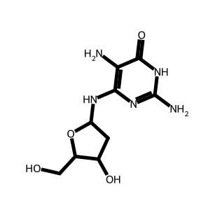 Nc1nc(NC2CC(O)C(CO)O2)c(N)c(=O)[nH]1